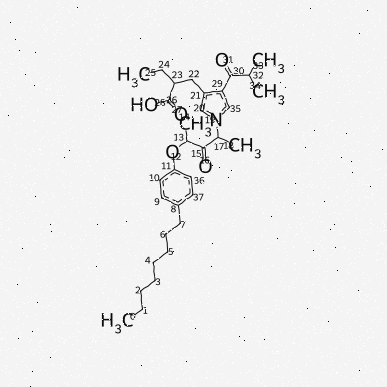 CCCCCCCCc1ccc(OC(C)C(=O)C(C)n2cc(CC(CC)C(=O)O)c(C(=O)C(C)C)c2)cc1